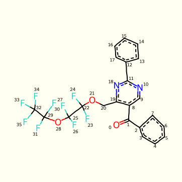 O=C(c1ccccc1)c1cnc(-c2ccccc2)nc1COC(F)(F)C(F)(F)OC(F)(F)C(F)(F)F